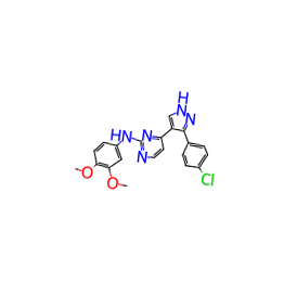 COc1ccc(Nc2nccc(-c3c[nH]nc3-c3ccc(Cl)cc3)n2)cc1OC